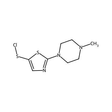 CN1CCN(c2ncc(SCl)s2)CC1